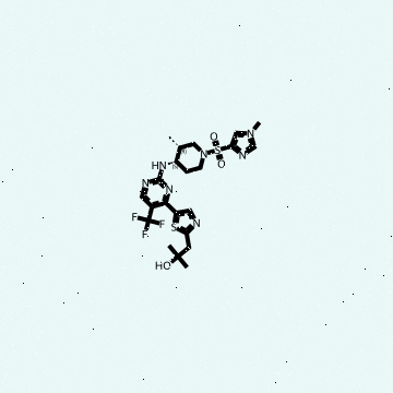 C[C@@H]1CN(S(=O)(=O)c2cn(C)cn2)CC[C@@H]1Nc1ncc(C(F)(F)F)c(-c2cnc(CC(C)(C)O)s2)n1